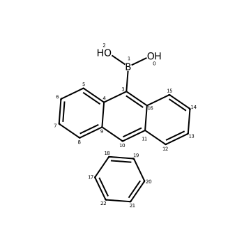 OB(O)c1c2ccccc2cc2ccccc12.c1ccccc1